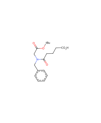 CC(C)(C)OC(=O)CN(Cc1ccccc1)C(=O)CCCC(=O)O